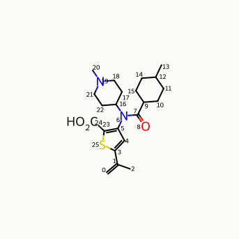 C=C(C)c1cc(N(C(=O)C2CCC(C)CC2)C2CCN(C)CC2)c(C(=O)O)s1